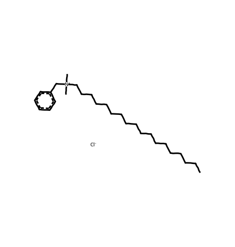 CCCCCCCCCCCCCCCCCC[N+](C)(C)Cc1ccccc1.[Cl-]